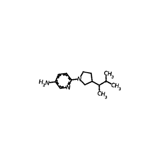 C[C](C)C(C)C1CCN(c2ccc(N)cn2)C1